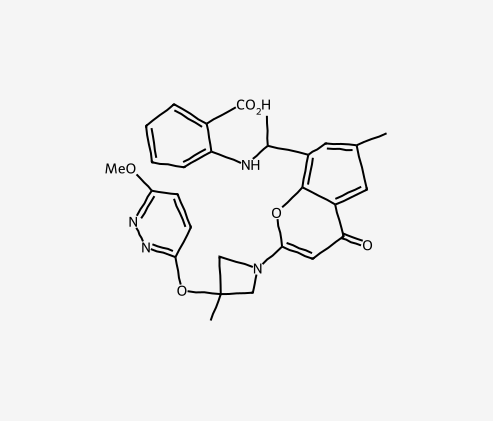 COc1ccc(OC2(C)CN(c3cc(=O)c4cc(C)cc(C(C)Nc5ccccc5C(=O)O)c4o3)C2)nn1